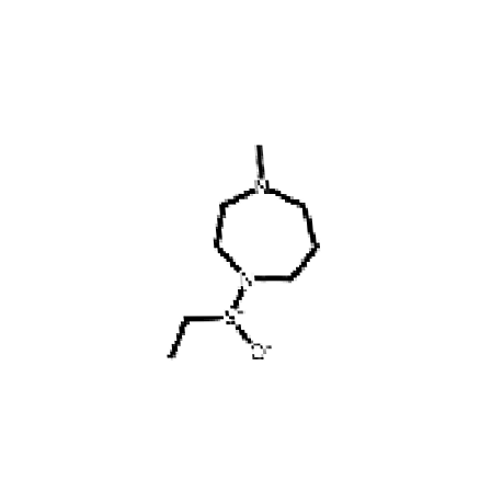 CC[S+]([O-])N1CCCN(C)CC1